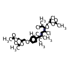 CC(=O)OC[C@@H](COc1ccc(C(C)(C)/C(C)=C/C(Cl)=C(/OC[C@H](CCl)OC(C)=O)[C@@H](C)Cl)cc1)OC(C)=O